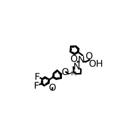 COc1cc(F)c(F)cc1-c1ccc(OC[C@@H]2CCCN(C(=O)N(CC(=O)O)Cc3ccccc3)C2)cc1